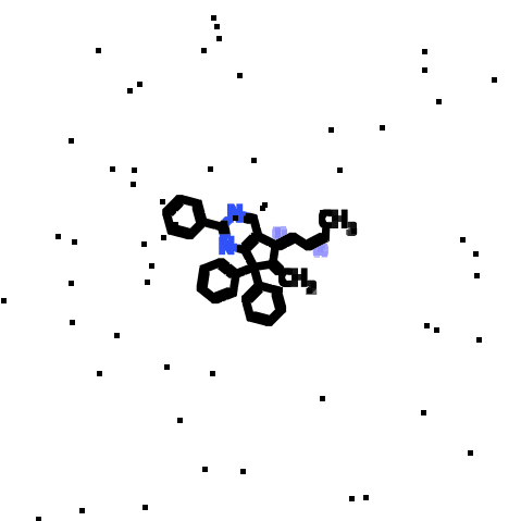 C=C1/C(=C\C=C/C)c2cnc(-c3ccccc3)nc2C1(c1ccccc1)c1ccccc1